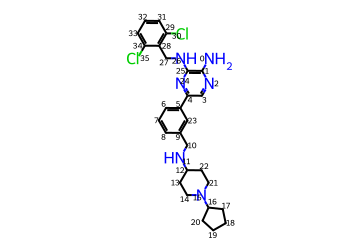 Nc1ncc(-c2cccc(CNC3CCN(C4CCCC4)CC3)c2)nc1NCc1c(Cl)cccc1Cl